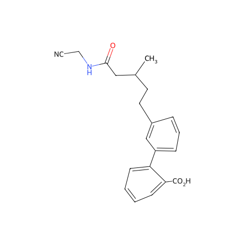 CC(CCc1cccc(-c2ccccc2C(=O)O)c1)CC(=O)NCC#N